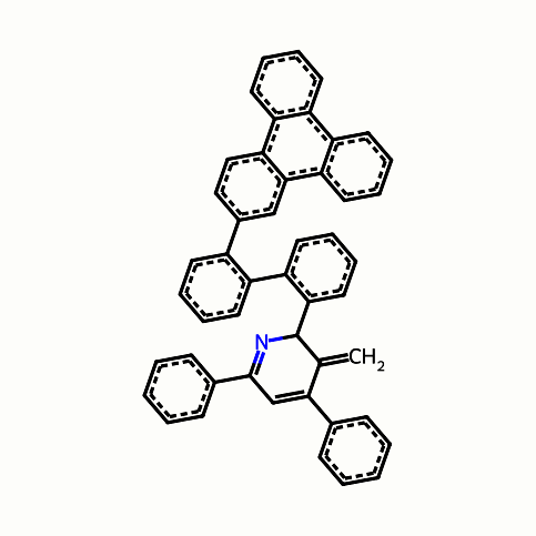 C=C1C(c2ccccc2)=CC(c2ccccc2)=NC1c1ccccc1-c1ccccc1-c1ccc2c3ccccc3c3ccccc3c2c1